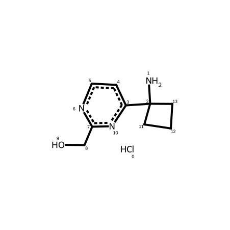 Cl.NC1(c2ccnc(CO)n2)CCC1